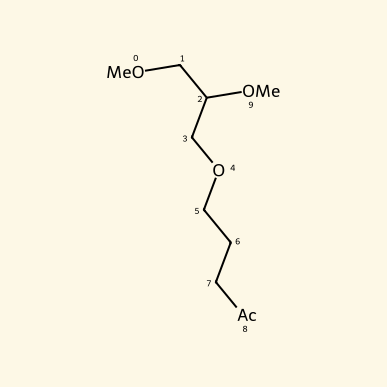 COCC(COCCCC(C)=O)OC